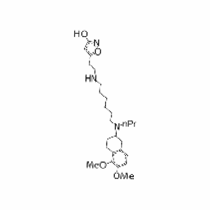 CCCN(CCCCCCNCCc1cc(O)no1)C1CCc2c(ccc(OC)c2OC)C1